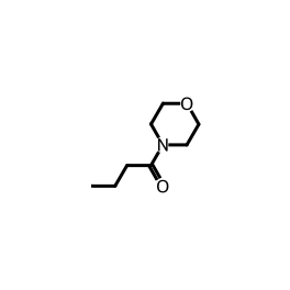 CCCC(=O)N1CCOCC1